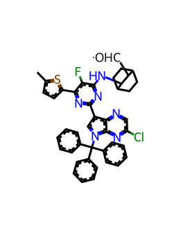 Cc1ccc(-c2nc(-c3cn(C(c4ccccc4)(c4ccccc4)c4ccccc4)c4nc(Cl)cnc34)nc(NC3C4CCC(CC4)C3[C]=O)c2F)s1